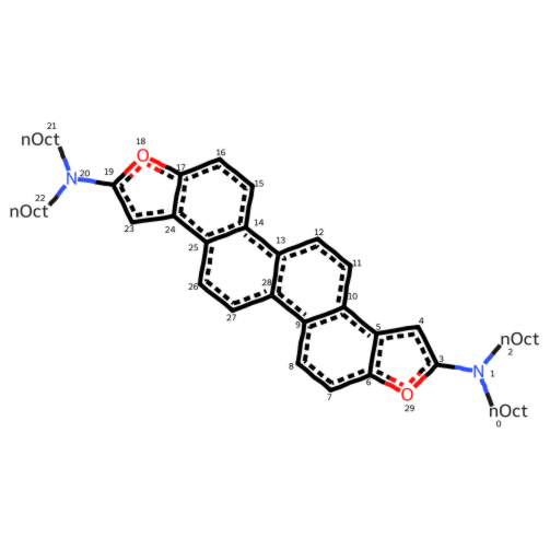 CCCCCCCCN(CCCCCCCC)c1cc2c(ccc3c2ccc2c4ccc5oc(N(CCCCCCCC)CCCCCCCC)cc5c4ccc32)o1